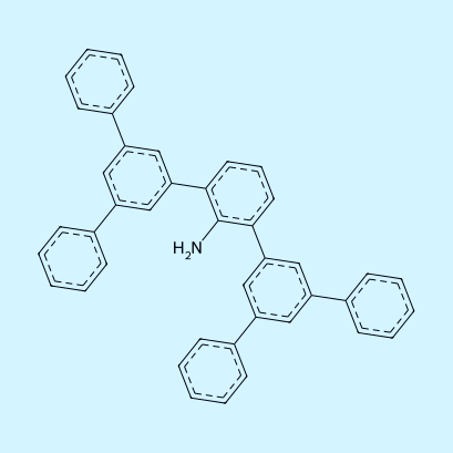 Nc1c(-c2cc(-c3ccccc3)cc(-c3ccccc3)c2)cccc1-c1cc(-c2ccccc2)cc(-c2ccccc2)c1